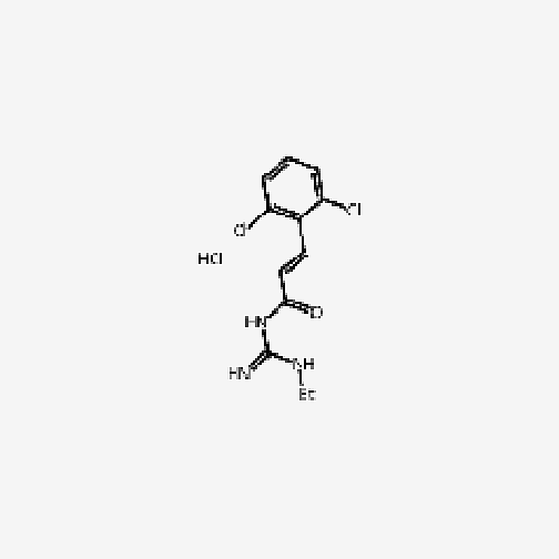 CCNC(=N)NC(=O)C=Cc1c(Cl)cccc1Cl.Cl